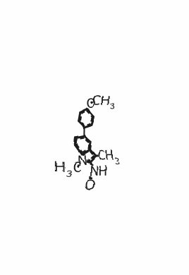 COc1ccc(-c2ccc3c(c2)c(C)c(NC=O)n3C)cc1